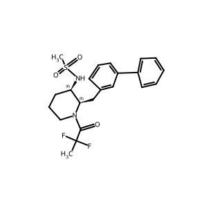 CC(F)(F)C(=O)N1CCC[C@@H](NS(C)(=O)=O)[C@H]1Cc1cccc(-c2ccccc2)c1